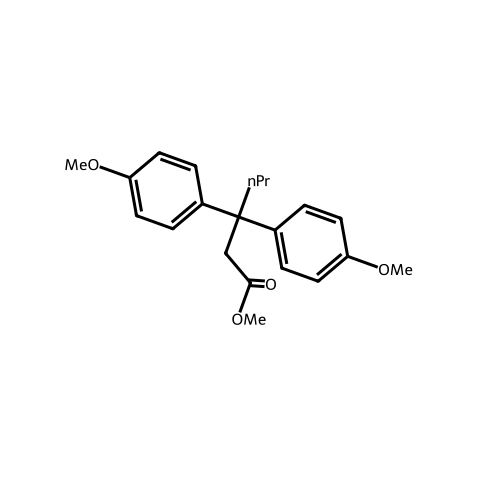 CCCC(CC(=O)OC)(c1ccc(OC)cc1)c1ccc(OC)cc1